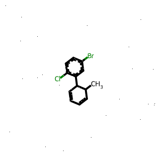 CC1C=CC=CC1c1cc(Br)ccc1Cl